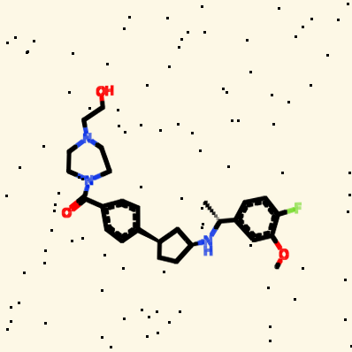 COc1cc([C@@H](C)N[C@H]2CC[C@@H](c3ccc(C(=O)N4CCN(CCO)CC4)cc3)C2)ccc1F